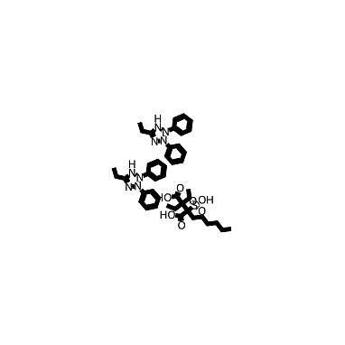 CCC1=NN(c2ccccc2)N(c2ccccc2)N1.CCC1=NN(c2ccccc2)N(c2ccccc2)N1.CCCCCCC(C(=O)O)(C(CC)(CC)C(=O)O)S(=O)(=O)O